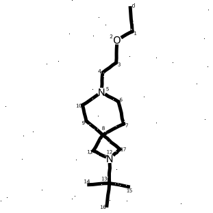 CCOCCN1CCC2(CC1)CN(C(C)(C)C)C2